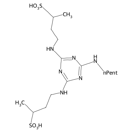 CCCCCNc1nc(NCCC(C)S(=O)(=O)O)nc(NCCC(C)S(=O)(=O)O)n1